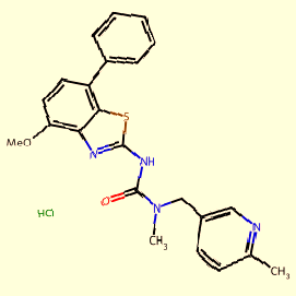 COc1ccc(-c2ccccc2)c2sc(NC(=O)N(C)Cc3ccc(C)nc3)nc12.Cl